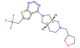 FC(F)(F)Cc1cc2c(N3C[C@H]4CCN(CC5CCOC5)C[C@H]4C3)ncnc2s1